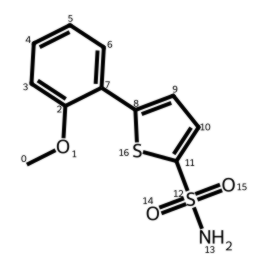 COc1ccccc1-c1ccc(S(N)(=O)=O)s1